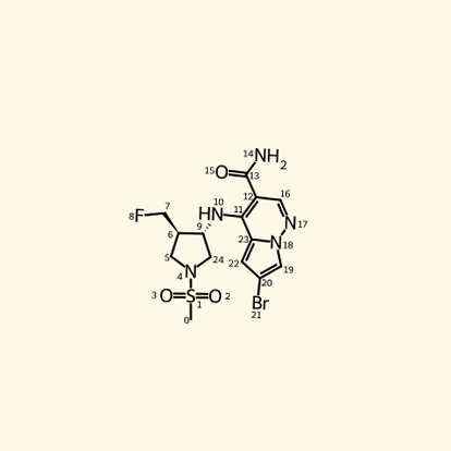 CS(=O)(=O)N1C[C@@H](CF)[C@H](Nc2c(C(N)=O)cnn3cc(Br)cc23)C1